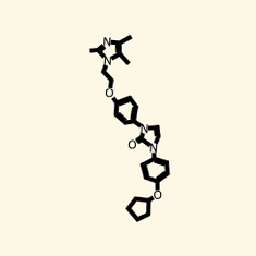 Cc1nc(C)n(CCOc2ccc(-n3ccn(-c4ccc(OC5CCCC5)cc4)c3=O)cc2)c1C